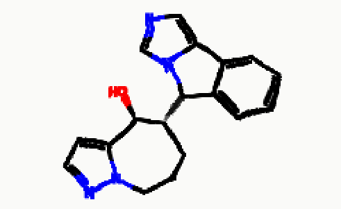 O[C@@H]1c2ccnn2CCC[C@H]1C1c2ccccc2-c2cncn21